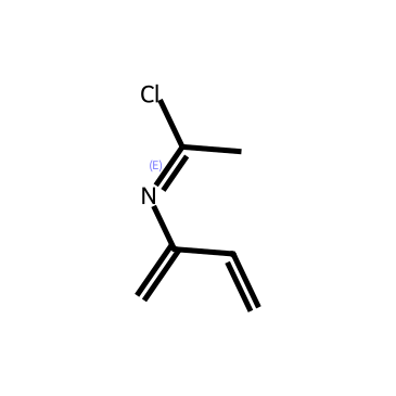 C=CC(=C)/N=C(\C)Cl